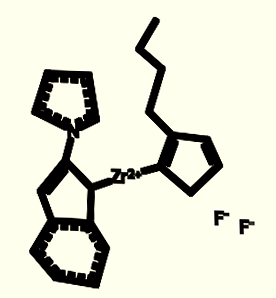 CCCCC1=[C]([Zr+2][CH]2C(n3cccc3)=Cc3ccccc32)CC=C1.[F-].[F-]